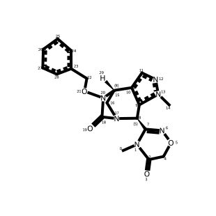 CN1C(=O)CON=C1[C@@H]1c2c(cnn2C)[C@@H]2CN1C(=O)N2OCc1ccccc1